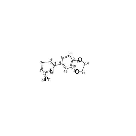 CC(C)c1cccc(-c2ccc3c(c2)OCCO3)n1